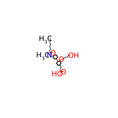 CCCCCCCC(=O)N(C)Cc1cccc(-c2ccc(CCC(=O)O)cc2OCCCCO)c1